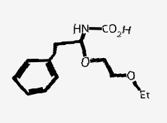 CCOCCOC(Cc1ccccc1)NC(=O)O